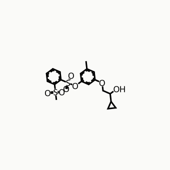 Cc1cc(OCC(O)C2CC2)cc(OS(=O)(=O)c2ccccc2S(C)(=O)=O)c1